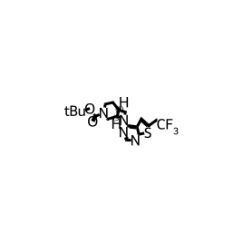 CC(C)(C)OC(=O)N1CC[C@@H]2CN(c3ncnc4sc(CC(F)(F)F)cc34)[C@@H]2C1